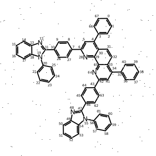 c1ccc(-c2cc(-c3ccc(-c4nc5ccccc5n4-c4ccccc4)cc3)nc3c2ccc2c(-c4ccccc4)cc(-c4ccc(-c5nc6ccccc6n5-c5ccccc5)cc4)nc23)cc1